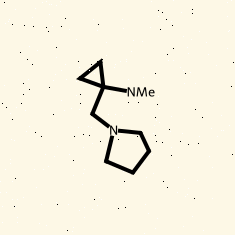 CNC1(CN2CCCC2)CC1